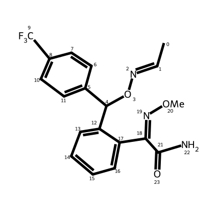 CC=NOC(c1ccc(C(F)(F)F)cc1)c1ccccc1C(=NOC)C(N)=O